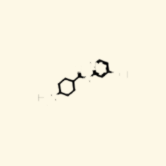 NC1CCC(C(=O)Nc2cc(O)ccn2)CC1